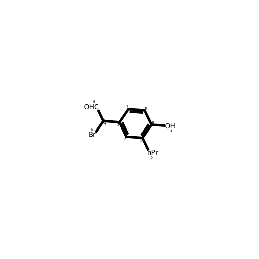 CCCc1cc(C(Br)C=O)ccc1O